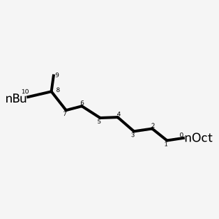 [CH2]CCCCCCCCCCCCCCC(C)CCCC